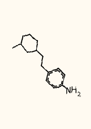 CC1CCCC(CCc2ccc(N)cc2)C1